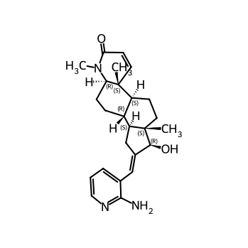 CN1C(=O)C=C[C@]2(C)[C@H]3CC[C@]4(C)[C@@H](O)C(=Cc5cccnc5N)C[C@H]4[C@@H]3CC[C@@H]12